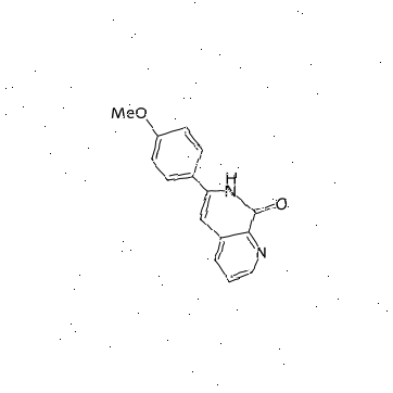 COc1ccc(-c2cc3cccnc3c(=O)[nH]2)cc1